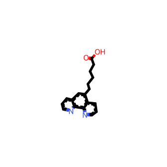 O=C(O)CCCCCc1cc2cccnc2c2ncccc12